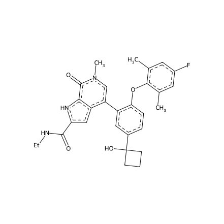 CCNC(=O)c1cc2c(-c3cc(C4(O)CCC4)ccc3Oc3c(C)cc(F)cc3C)cn(C)c(=O)c2[nH]1